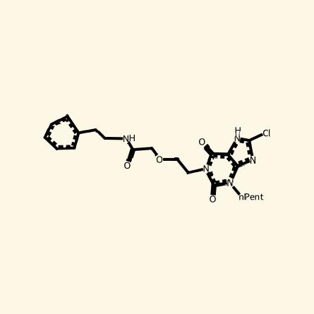 CCCCCn1c(=O)n(CCOCC(=O)NCCc2ccccc2)c(=O)c2[nH]c(Cl)nc21